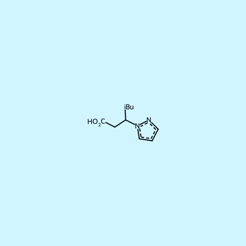 CCC(C)C(CC(=O)O)n1cccn1